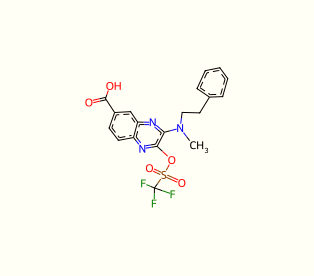 CN(CCc1ccccc1)c1nc2cc(C(=O)O)ccc2nc1OS(=O)(=O)C(F)(F)F